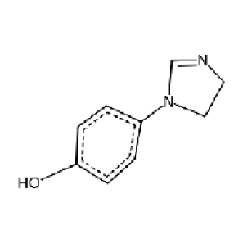 Oc1ccc(N2C=NCC2)cc1